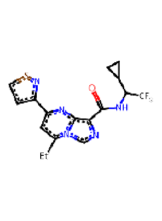 CCc1cc(-c2ccsn2)nc2c(C(=O)NC(C3CC3)C(F)(F)F)ncn12